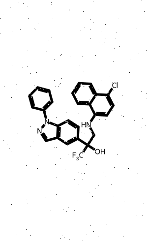 OC(CNc1ccc(Cl)c2ccccc12)(c1ccc2c(cnn2-c2ccccc2)c1)C(F)(F)F